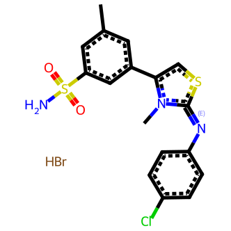 Br.Cc1cc(-c2cs/c(=N/c3ccc(Cl)cc3)n2C)cc(S(N)(=O)=O)c1